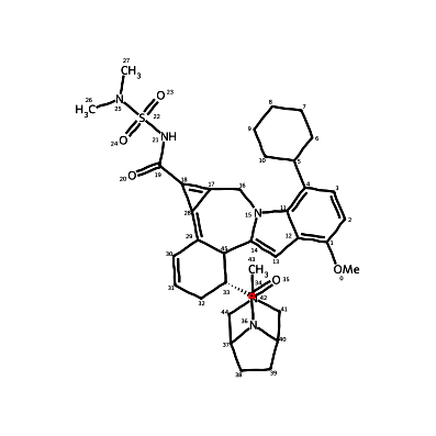 COc1ccc(C2CCCCC2)c2c1cc1n2CC2=C(C(=O)NS(=O)(=O)N(C)C)C2=C2C=CC[C@@H](C(=O)N3C4CCC3CN(C)C4)C21